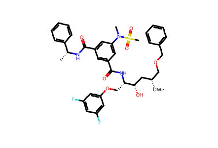 CO[C@@H](COCc1ccccc1)C[C@H](O)[C@H](COc1cc(F)cc(F)c1)NC(=O)c1cc(C(=O)N[C@H](C)c2ccccc2)cc(N(C)S(C)(=O)=O)c1